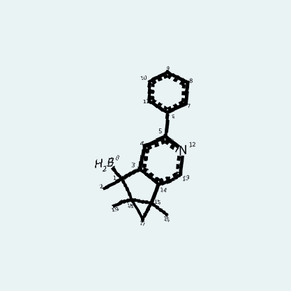 BC1(C)c2cc(-c3ccccc3)ncc2C2(C)CC12C